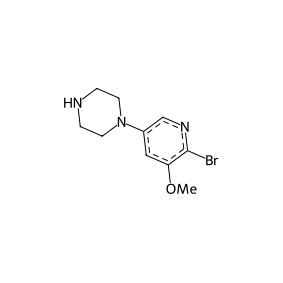 COc1cc(N2CCNCC2)cnc1Br